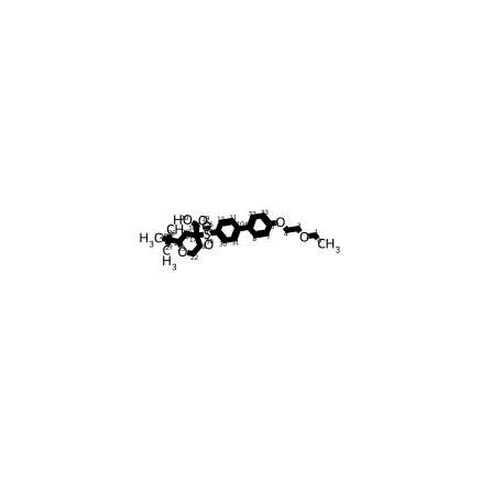 CCOCCOc1ccc(-c2ccc(S(=O)(=O)C3(C(=O)O)CCOC(C(C)(C)C)C3)cc2)cc1